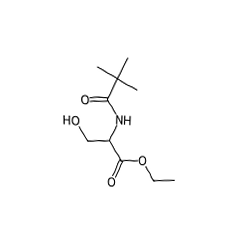 CCOC(=O)C(CO)NC(=O)C(C)(C)C